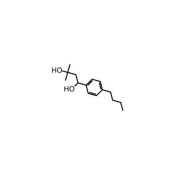 CCCCc1ccc(C(O)CC(C)(C)O)cc1